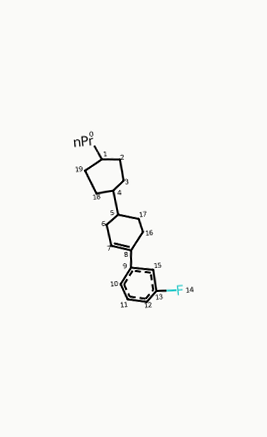 CCCC1CCC(C2CC=C(c3cccc(F)c3)CC2)CC1